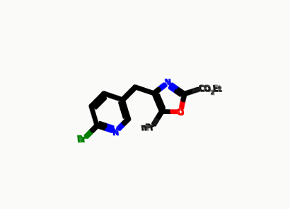 CCCc1oc(C(=O)OCC)nc1Cc1ccc(Br)nc1